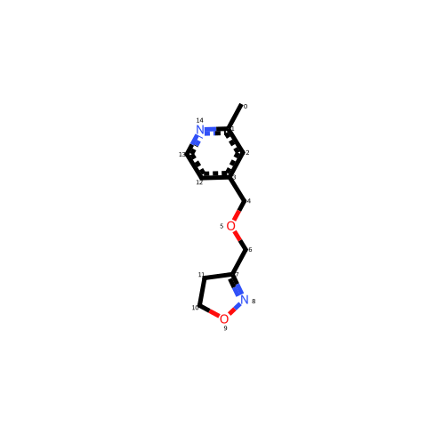 Cc1cc(COCC2=NOCC2)ccn1